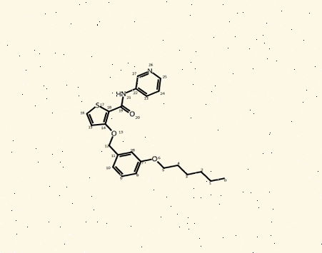 CCCCCCOc1cccc(COc2ccsc2C(=O)Nc2cccnc2)c1